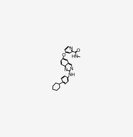 CNC(=O)c1cc(Oc2ccc3nc(Nc4ccc(C5CCCCC5)cc4)ncc3c2)ccn1